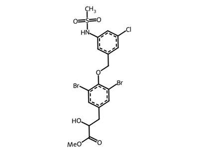 COC(=O)C(O)Cc1cc(Br)c(OCc2cc(Cl)cc(NS(C)(=O)=O)c2)c(Br)c1